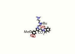 CCCCN(CCCN(C)C)C(=O)CN1C[C@H](c2cc(OC)c3c(c2)OCO3)[C@@H](C(=O)O)[C@@H]1CCN1Cc2ccccc2C1=O